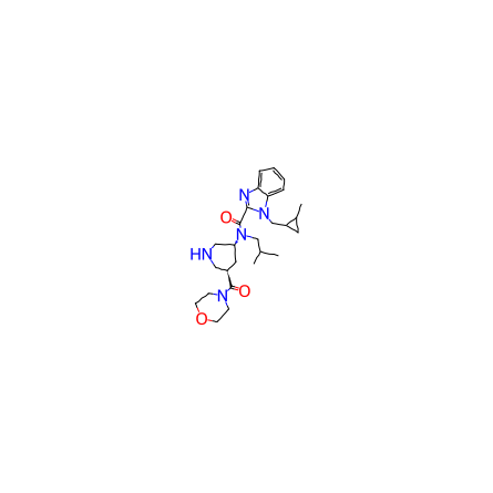 CC(C)CN(C(=O)c1nc2ccccc2n1CC1CC1C)[C@@H]1CNC[C@H](C(=O)N2CCOCC2)C1